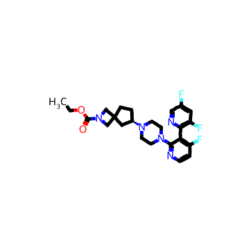 CCOC(=O)N1CC2(CC[C@@H](N3CCN(c4nccc(F)c4-c4ncc(F)cc4F)CC3)C2)C1